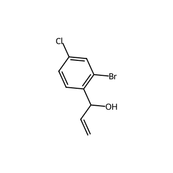 C=CC(O)c1ccc(Cl)cc1Br